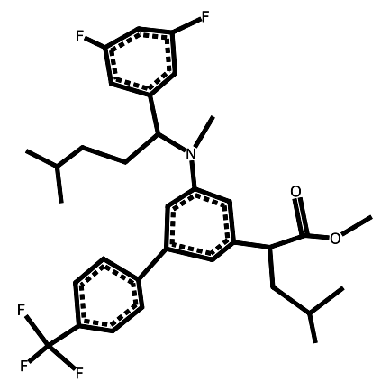 COC(=O)C(CC(C)C)c1cc(-c2ccc(C(F)(F)F)cc2)cc(N(C)C(CCC(C)C)c2cc(F)cc(F)c2)c1